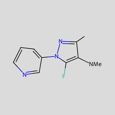 CNc1c(C)nn(-c2cccnc2)c1F